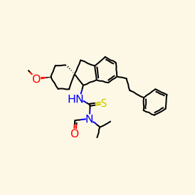 CO[C@H]1CC[C@]2(CC1)Cc1ccc(CCc3ccccc3)cc1C2NC(=S)N(C=O)C(C)C